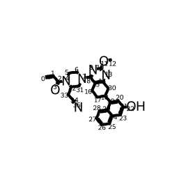 C=CC(=O)N1CCN(c2nc(OC)nc3c2CCC(c2cc(O)cc4ccccc24)C3)CC1CC#N